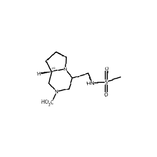 CS(=O)(=O)NCC1CN(C(=O)O)C[C@@H]2CCCN12